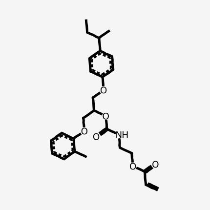 C=CC(=O)OCCNC(=O)OC(COc1ccc(C(C)CC)cc1)COc1ccccc1C